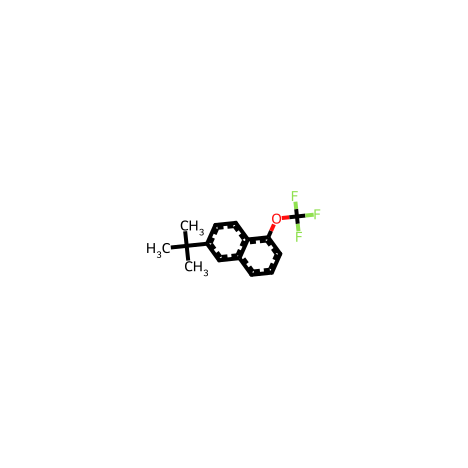 CC(C)(C)c1ccc2c(OC(F)(F)F)cccc2c1